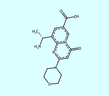 C[C@@H](N)c1cc(C(=O)O)cn2c(=O)cc(N3CCOCC3)nc12